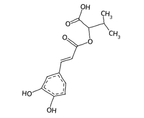 CC(C)C(OC(=O)/C=C/c1ccc(O)c(O)c1)C(=O)O